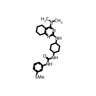 CSc1cccc(NC(=O)NC2CCC(Nc3nc4c(c(N(C)C)n3)CCCC4)CC2)c1